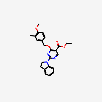 CCOC(=O)c1cnc(N2CCc3ccccc32)nc1OCc1ccc(OC)c(C)c1